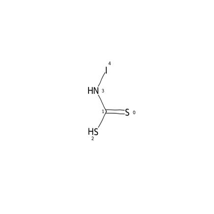 S=C(S)NI